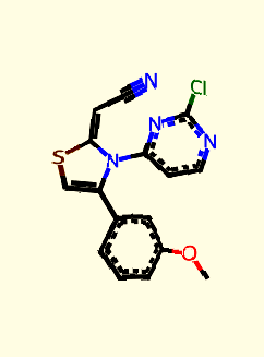 COc1cccc(C2=CSC(=CC#N)N2c2ccnc(Cl)n2)c1